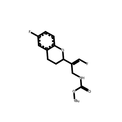 CC(C)(C)OC(=O)NCC(=CF)C1CCc2cc(F)ccc2O1